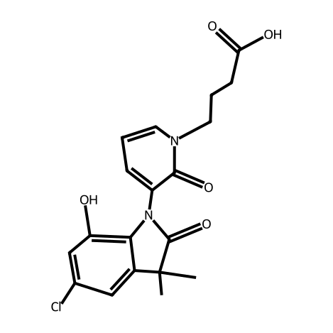 CC1(C)C(=O)N(c2cccn(CCCC(=O)O)c2=O)c2c(O)cc(Cl)cc21